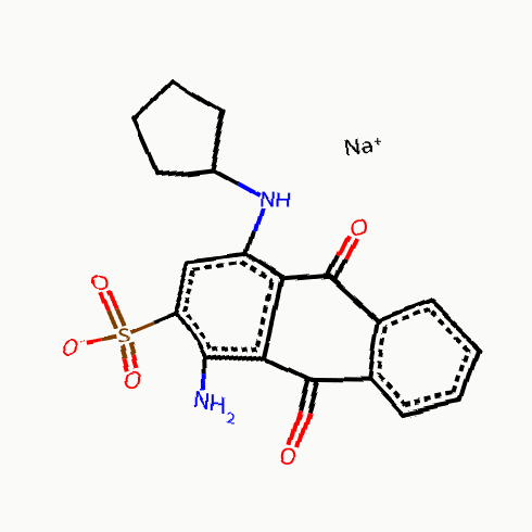 Nc1c(S(=O)(=O)[O-])cc(NC2CCCC2)c2c1C(=O)c1ccccc1C2=O.[Na+]